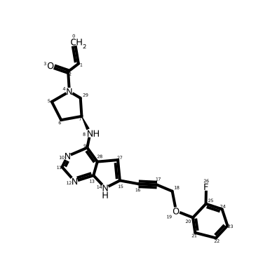 C=CC(=O)N1CC[C@H](Nc2ncnc3[nH]c(C#CCOc4ccccc4F)cc23)C1